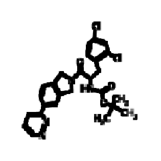 CC(C)(C)OC(=O)N[C@H](Cc1ccc(Cl)cc1Cl)C(=O)N1Cc2ccc(-c3cccnn3)cc2C1